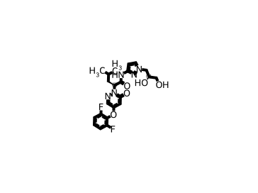 CC(C)C[C@@H](C(=O)Nc1ccn(C[C@@H](O)CO)n1)n1ncc(Oc2c(F)cccc2F)cc1=O